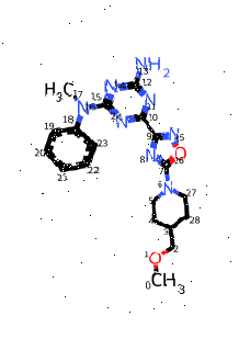 COCC1CCN(c2nc(-c3nc(N)nc(N(C)c4ccccc4)n3)no2)CC1